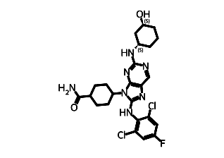 NC(=O)C1CCC(n2c(Nc3c(Cl)cc(F)cc3Cl)nc3cnc(N[C@H]4CCC[C@H](O)C4)nc32)CC1